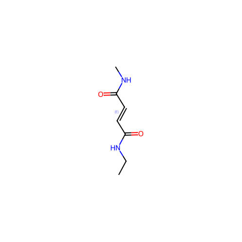 CCNC(=O)/C=C/C(=O)NC